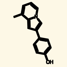 Cc1cccn2cc(-c3ccc(O)cc3)cc12